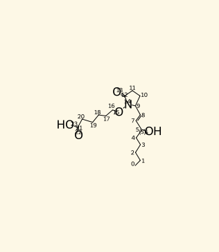 CCCCC[C@H](O)C=CC1CCC(=O)N1OCCCCCC(=O)O